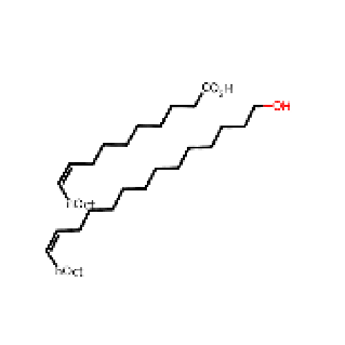 CCCCCCCC/C=C\CCCCCCCC(=O)O.CCCCCCCC/C=C\CCCCCCCCCCCCO